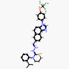 CC(C)c1ccccc1N1CCCSC1=N/N=C/c1ccc2c(ccc3c2ncn3-c2ccc(OC(F)(F)F)cc2)c1